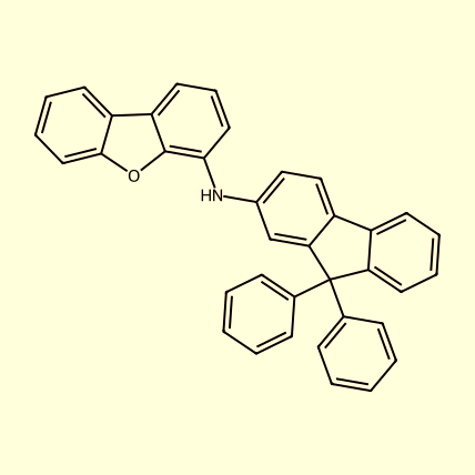 c1ccc(C2(c3ccccc3)c3ccccc3-c3ccc(Nc4cccc5c4oc4ccccc45)cc32)cc1